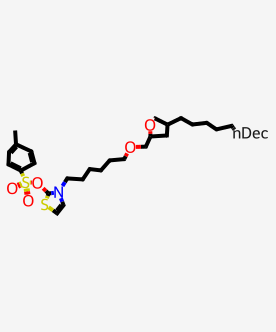 CCCCCCCCCCCCCCCC1COC(COCCCCCCN2C=CSC2OS(=O)(=O)c2ccc(C)cc2)C1